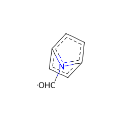 O=[C]n1c2ccc1cc2